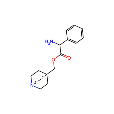 NC(C(=O)OCC12CCN(CC1)CC2)c1ccccc1